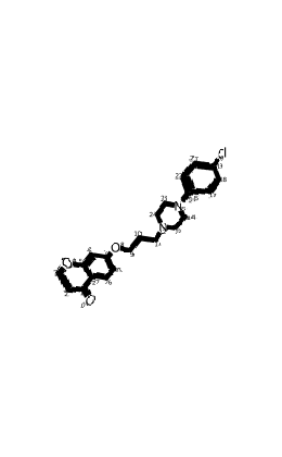 O=c1ccoc2cc(OCCCN3CCN(c4ccc(Cl)cc4)CC3)ccc12